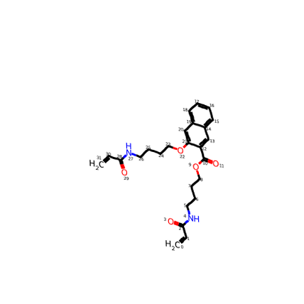 C=CC(=O)NCCCCOC(=O)c1cc2ccccc2cc1OCCCCNC(=O)C=C